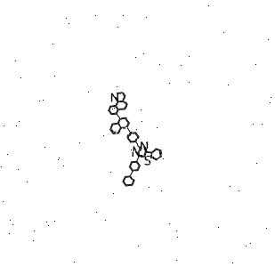 c1ccc(-c2ccc(-c3nc(-c4ccc(-c5ccc(-c6cccc7c6ccc6cccnc67)c6ccccc56)cc4)nc4c3sc3ccccc34)cc2)cc1